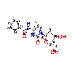 Cc1cn([C@H]2C[C@@H](O)[C@H](CO)O2)c(=O)nc1NC(=O)c1ccccc1